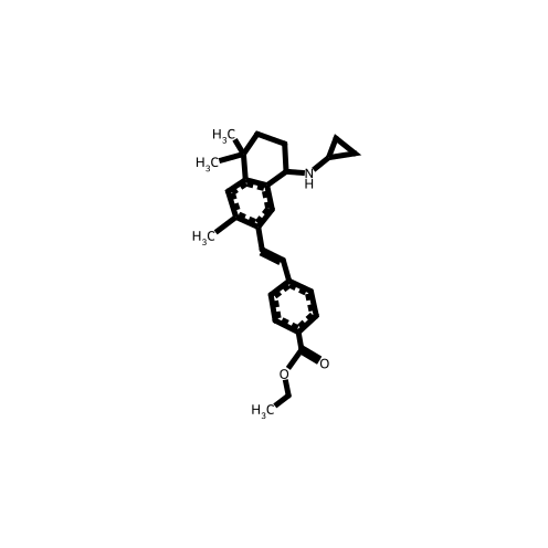 CCOC(=O)c1ccc(C=Cc2cc3c(cc2C)C(C)(C)CCC3NC2CC2)cc1